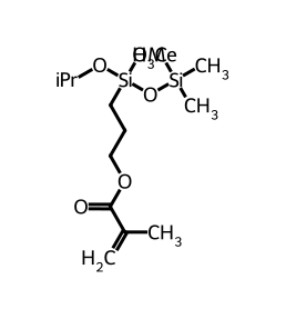 C=C(C)C(=O)OCCC[Si](OC)(OC(C)C)O[Si](C)(C)C